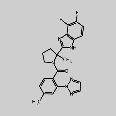 Cc1ccc(C(=O)N2CCCC2(C)c2nc3c(F)c(F)ccc3[nH]2)c(-n2nccn2)c1